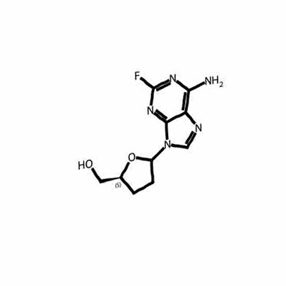 Nc1nc(F)nc2c1ncn2C1CC[C@@H](CO)O1